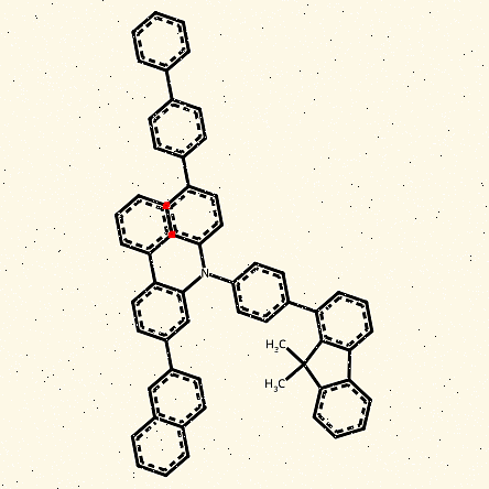 CC1(C)c2ccccc2-c2cccc(-c3ccc(N(c4ccc(-c5ccc(-c6ccccc6)cc5)cc4)c4cc(-c5ccc6ccccc6c5)ccc4-c4ccccc4)cc3)c21